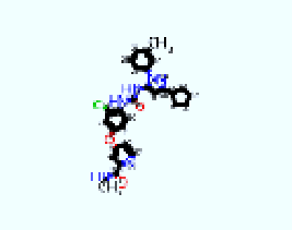 CNC(=O)c1cc(Oc2ccc(NC(=O)Nc3cc(C4CCCC4)nn3-c3cccc(C)c3)c(Cl)c2)ccn1